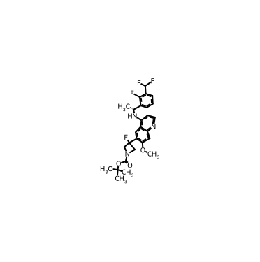 COc1cc2nccc(N[C@H](C)c3cccc(C(F)F)c3F)c2cc1C1(F)CN(C(=O)OC(C)(C)C)C1